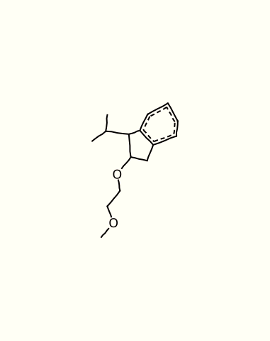 COCCOC1Cc2ccccc2C1C(C)C